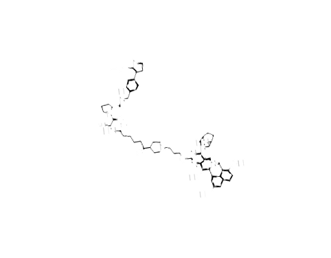 C#Cc1c(O)ccc2cc(O)cc(-c3ncc4c(N5CC6CCC(C5)N6)nc(OCCCN5CCC(C(=O)CCCCC(=O)NC(C(=O)N6CCC[C@H]6C(=O)NCc6ccc(C7=C(C)N=CC7)cc6)C(C)(C)C)CC5)nc4c3O)c12